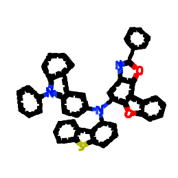 c1ccc(-c2nc3cc(N(c4ccc5c(c4)c4ccccc4n5-c4ccccc4)c4cccc5sc6ccccc6c45)c4oc5ccccc5c4c3o2)cc1